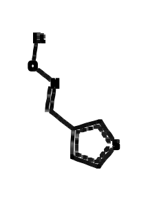 CCO/N=C/c1ccsc1